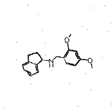 COc1ccc(CNC2CCc3ccccc32)c(OC)c1